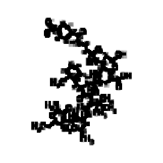 CCCC[C@H](NC(=O)[C@H](CC(C)C)NC(=O)[C@@H](NC(=O)[C@H](Cc1ccccc1C)NC(=O)[C@H](CCC(=O)O)NC(=O)[C@H](CC(=O)O)NC(=O)CCNC(=O)c1ccc([N+](=O)[O-])cc1)C(C)(C)C)C(=O)C(N)=O